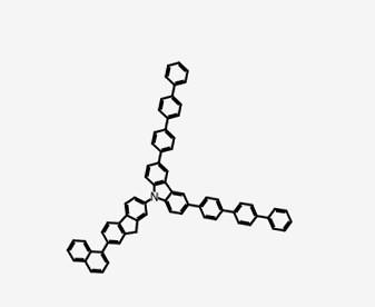 c1ccc(-c2ccc(-c3ccc(-c4ccc5c(c4)c4cc(-c6ccc(-c7ccc(-c8ccccc8)cc7)cc6)ccc4n5-c4ccc5c(c4)Cc4cc(-c6cccc7ccccc67)ccc4-5)cc3)cc2)cc1